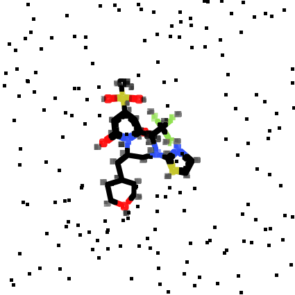 Cc1cc(S(C)(=O)=O)cc(=O)n1C(CC1CCOCC1)CN(C(=O)C(F)(F)F)c1nccs1